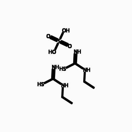 CCNC(=N)S.CCNC(=N)S.O=S(=O)(O)O